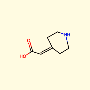 O=C(O)C=C1CCNCC1